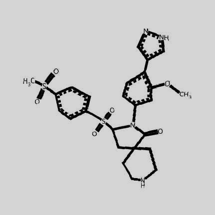 COc1cc(N2C(=O)C3(CCNCC3)CC2S(=O)(=O)c2ccc(S(C)(=O)=O)cc2)ccc1-c1cn[nH]c1